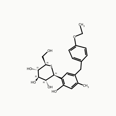 CCOc1ccc(Cc2cc([C@@H]3S[C@H](CO)[C@@H](O)[C@H](O)[C@H]3O)c(O)cc2C)cc1